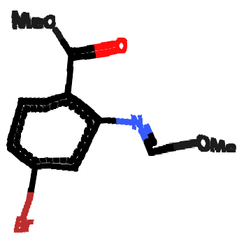 COC=Nc1cc(Br)ccc1C(=O)OC